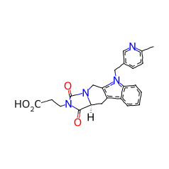 Cc1ccc(Cn2c3c(c4ccccc42)C[C@H]2C(=O)N(CCC(=O)O)C(=O)N2C3)cn1